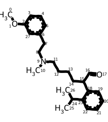 COc1cccc(CCN(C)CCCCC(C=O)c2ccccc2C(C)C)c1